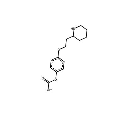 CCCC(=O)Oc1ccc(OCCC2CCCCN2)cc1